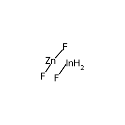 [F][InH2].[F][Zn][F]